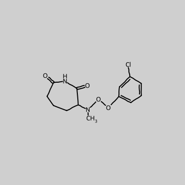 CN(OOc1cccc(Cl)c1)C1CCCC(=O)NC1=O